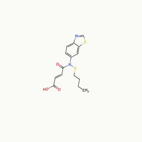 CCCCSN(C(=O)C=CC(=O)O)c1ccc2ncsc2c1